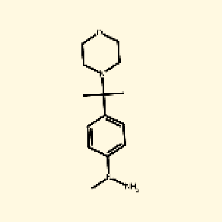 CN(N)c1ccc(C(C)(C)N2CCOCC2)cc1